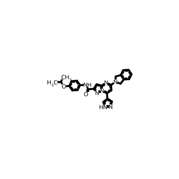 CC(C)Oc1ccc(NC(=O)c2cc3nc(N4Cc5ccccc5C4)cc(-c4cn[nH]c4)n3n2)cc1